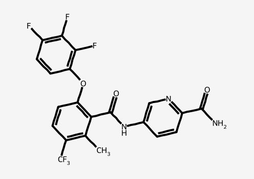 Cc1c(C(F)(F)F)ccc(Oc2ccc(F)c(F)c2F)c1C(=O)Nc1ccc(C(N)=O)nc1